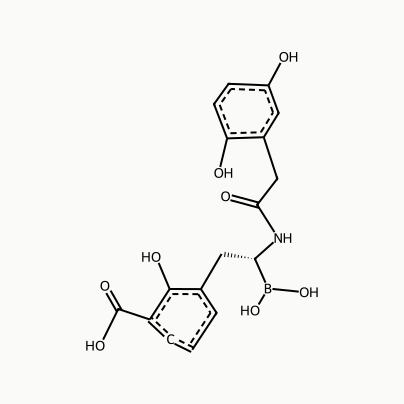 O=C(Cc1cc(O)ccc1O)N[C@@H](Cc1cccc(C(=O)O)c1O)B(O)O